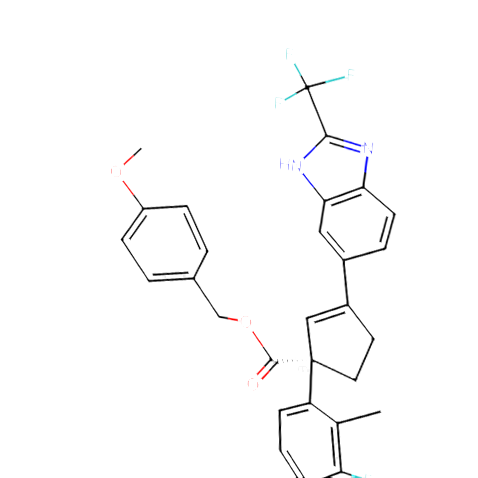 COc1ccc(COC(=O)[C@]2(c3cccc(F)c3C)C=C(c3ccc4nc(C(F)(F)F)[nH]c4c3)CC2)cc1